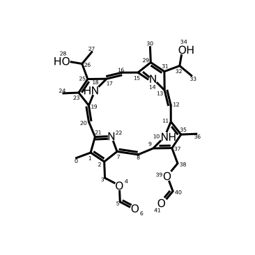 CC1=C(COC=O)c2cc3[nH]c(cc4nc(cc5[nH]c(cc1n2)c(C)c5C(C)O)C(C)=C4C(C)O)c(C)c3COC=O